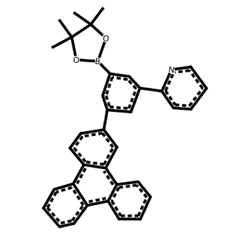 CC1(C)OB(c2cc(-c3ccc4c5ccccc5c5ccccc5c4c3)cc(-c3ccccn3)c2)OC1(C)C